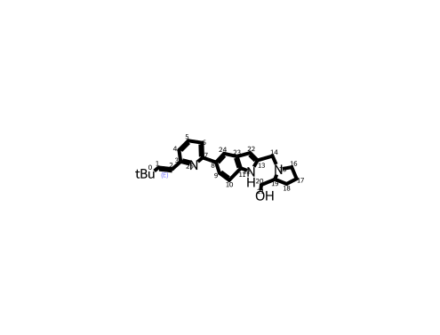 CC(C)(C)/C=C/c1cccc(-c2ccc3[nH]c(CN4CCCC4CO)cc3c2)n1